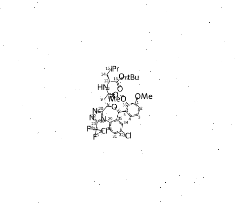 COc1cccc([C@@H]2O[C@@H](CC(=O)N[C@@H](CC(C)C)C(=O)OC(C)(C)C)c3nnc(C(F)(F)Cl)n3-c3ccc(Cl)cc32)c1OC